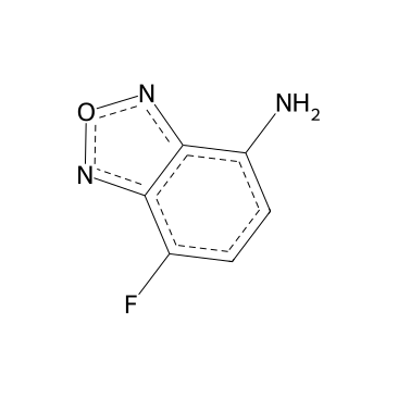 Nc1ccc(F)c2nonc12